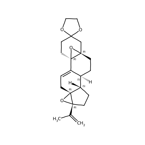 C=C(C)[C@]12CC[C@H]3[C@@H]4CC[C@@]56CC7(CC[C@@]5(O6)C4=CC[C@@]31O2)OCCO7